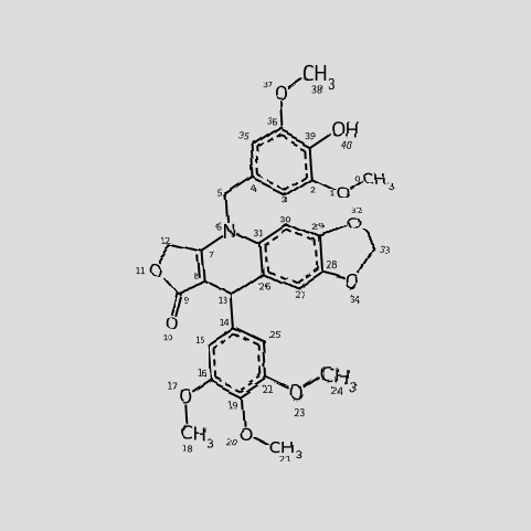 COc1cc(CN2C3=C(C(=O)OC3)C(c3cc(OC)c(OC)c(OC)c3)c3cc4c(cc32)OCO4)cc(OC)c1O